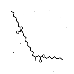 CCCCCCCOC(=O)CCCCCCCCCCC(C)CC(=O)OCCCCCCC